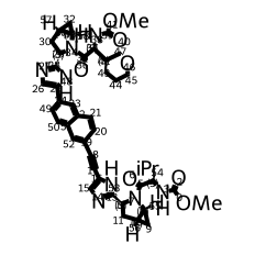 COC(=O)N[C@H](C(=O)N1[C@@H]2C[C@@H]2C[C@H]1c1ncc(C#Cc2ccc3cc(-c4cnc([C@@H]5C[C@H]6C[C@H]6N5C(=O)[C@@H](NC(=O)OC)[C@@H]5CCCOC5)[nH]4)ccc3c2)[nH]1)C(C)C